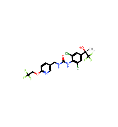 C[C@@](O)(c1cc(Cl)c(NC(=O)NCc2ccc(OCC(F)(F)F)nc2)c(Cl)c1)C(F)(F)F